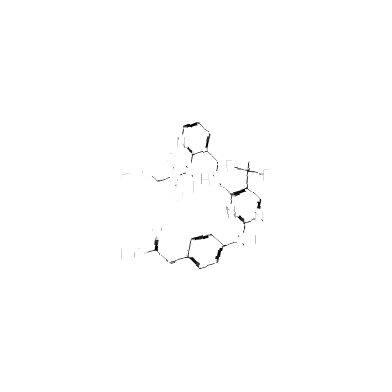 CCS(=O)(=O)Nc1ncccc1CNc1nc(Nc2ccc(CC(=O)O)cc2)ncc1C(F)(F)F